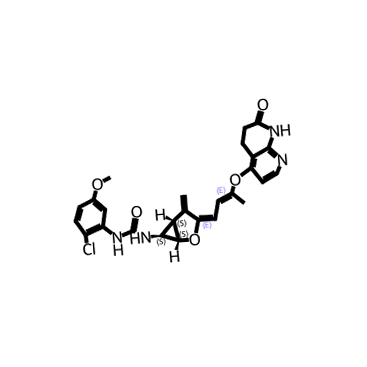 C=C1/C(=C\C=C(/C)Oc2ccnc3c2CCC(=O)N3)O[C@@H]2[C@@H](NC(=O)Nc3cc(OC)ccc3Cl)[C@H]12